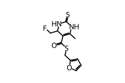 CC1=C(C(=O)SCc2ccco2)C(CF)NC(=S)N1